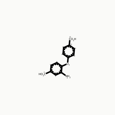 Nc1cc(C(=O)O)ccc1Oc1ccc(C(=O)O)cc1